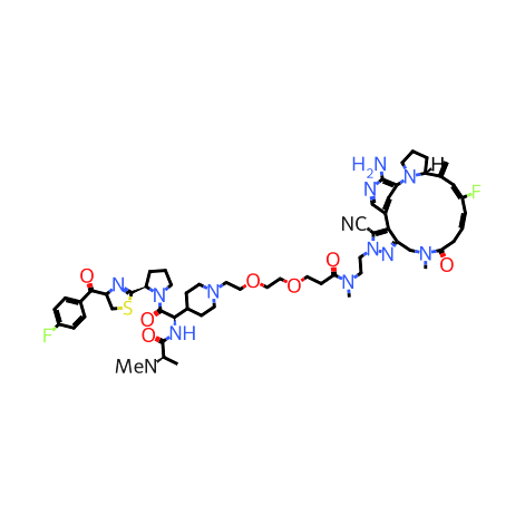 C=C1/C=C(F)\C=C/CC(=O)N(C)Cc2nn(CCN(C)C(=O)CCOCCOCCN3CCC([C@@H](NC(=O)[C@@H](C)NC)C(=O)N4CCC[C@@H]4C4=NC(C(=O)c5ccc(F)cc5)CS4)CC3)c(C#N)c2-c2cnc(N)c(c2)N2CCC[C@H]12